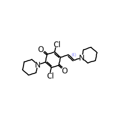 O=C1C(Cl)=C(N2CCCCC2)C(=O)C(Cl)=C1/C=C/N1CCCCC1